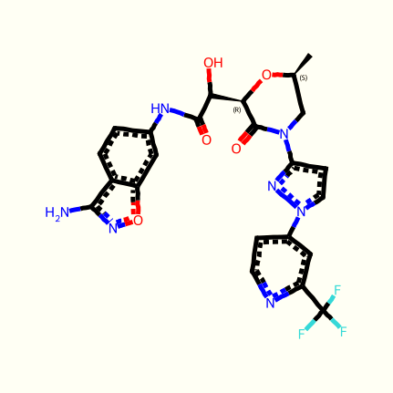 C[C@H]1CN(c2ccn(-c3ccnc(C(F)(F)F)c3)n2)C(=O)[C@@H](C(O)C(=O)Nc2ccc3c(N)noc3c2)O1